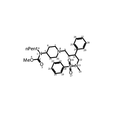 CCCCCN(C(=O)OC)C1CCN(CCC(CN(C)S(=O)(=O)c2ccccc2)c2ccccc2)CC1